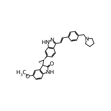 COc1ccc2c(c1)[C@]1(C[C@H]1c1ccc3c(/C=C/c4ccc(CN5CCCC5)cc4)n[nH]c3c1)C(=O)N2